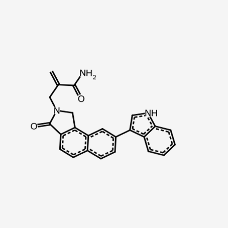 C=C(CN1Cc2c(ccc3ccc(-c4c[nH]c5ccccc45)cc23)C1=O)C(N)=O